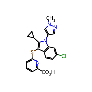 Cn1cc(-n2c(C3CC3)c(Sc3cccc(C(=O)O)n3)c3ccc(Cl)cc32)cn1